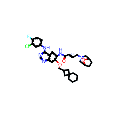 O=C(/C=C/CN1CC2CCC(C1)O2)Nc1cc2c(Nc3ccc(F)c(Cl)c3)ncnc2cc1OCC1CC2(CCCCC2)C1